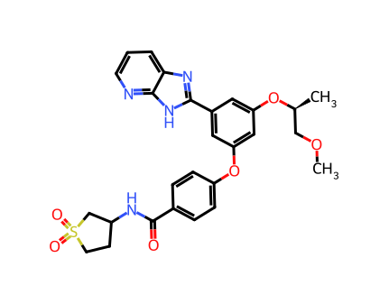 COC[C@H](C)Oc1cc(Oc2ccc(C(=O)NC3CCS(=O)(=O)C3)cc2)cc(-c2nc3cccnc3[nH]2)c1